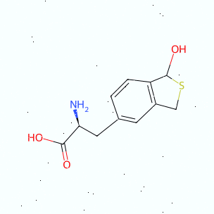 N[C@@H](Cc1ccc2c(c1)CSC2O)C(=O)O